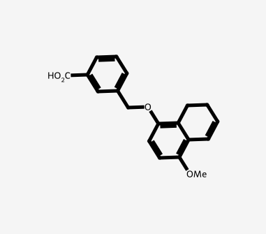 COc1ccc(OCc2cccc(C(=O)O)c2)c2c1C=CCC2